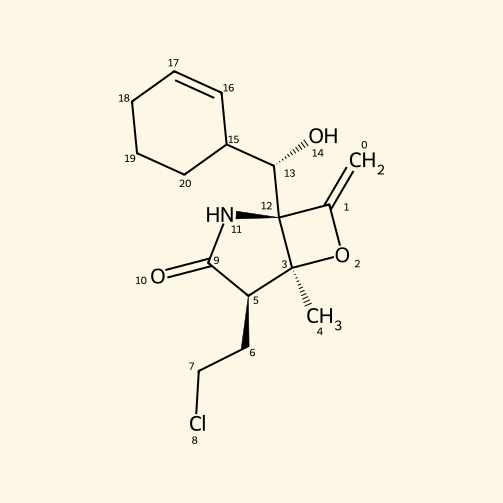 C=C1O[C@@]2(C)[C@@H](CCCl)C(=O)N[C@@]12[C@@H](O)C1C=CCCC1